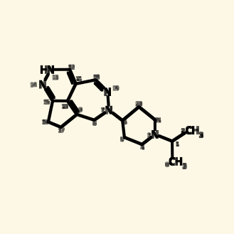 CC(C)N1CCC(N2CC3=C4C(=CNN=C4CC3)C=N2)CC1